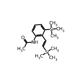 CC(=O)Nc1cccc([Si](C)(C)C)c1C=C[Si](C)(C)C